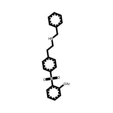 CC(=O)Oc1ccccc1S(=O)(=O)c1ccc(CCNCc2ccccc2)cc1